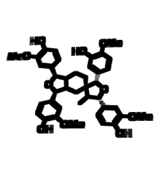 COc1ccc([C@@H]2O[C@H](c3ccc(O)c(OC)c3)C(C)[C@@]23CCC2C(C3)[C@@H](c3ccc(O)c(OC)c3)O[C@H]2c2ccc(O)c(OC)c2)cc1O